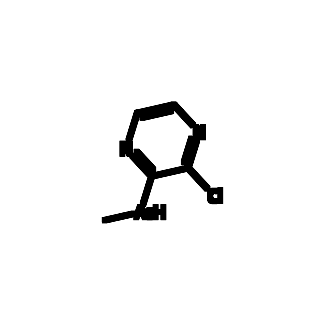 C[AsH]c1nccnc1Cl